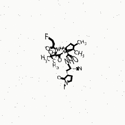 CC1C[C@@H]2C[C@@]1(C)[C@@H](C(=O)N[C@H](C#N)C[C@@H]1CCN(I)C1=O)N2C(=O)C(NC(=O)CF)C(C)(C)C